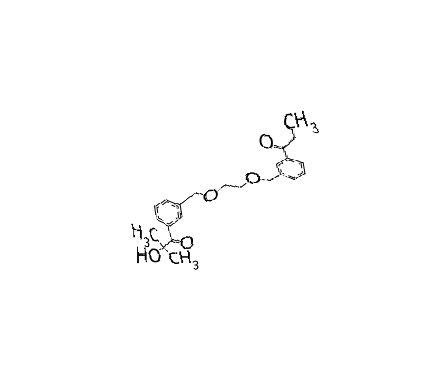 CCC(=O)c1cccc(COCCOCc2cccc(C(=O)C(C)(C)O)c2)c1